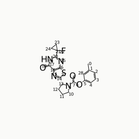 Cc1cccc(OC(=O)N2CCC[C@@H]2c2nc3c(=O)[nH]c(C4(F)CC4)nc3s2)c1